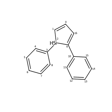 C1=C[SiH](c2ccccc2)C(c2ccccc2)=C1